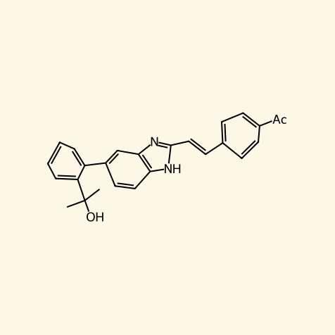 CC(=O)c1ccc(/C=C/c2nc3cc(-c4ccccc4C(C)(C)O)ccc3[nH]2)cc1